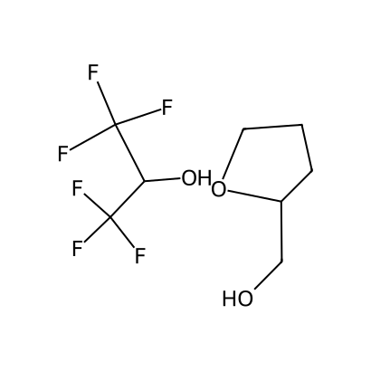 OC(C(F)(F)F)C(F)(F)F.OCC1CCCO1